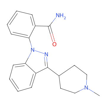 CN1CCC(c2nn(-c3ccccc3C(N)=O)c3ccccc23)CC1